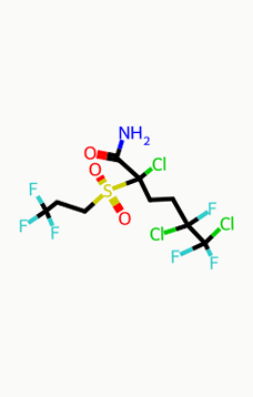 NC(=O)C(Cl)(CCC(F)(Cl)C(F)(F)Cl)S(=O)(=O)CCC(F)(F)F